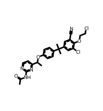 CC(=O)Nc1nccc(C(C)Oc2ccc(C(C)(C)c3cc(Cl)c(OCCCl)c(C#N)c3)cc2)n1